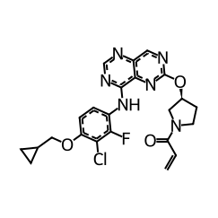 C=CC(=O)N1CC[C@H](Oc2ncc3ncnc(Nc4ccc(OCC5CC5)c(Cl)c4F)c3n2)C1